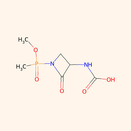 COP(C)(=O)N1CC(NC(=O)O)C1=O